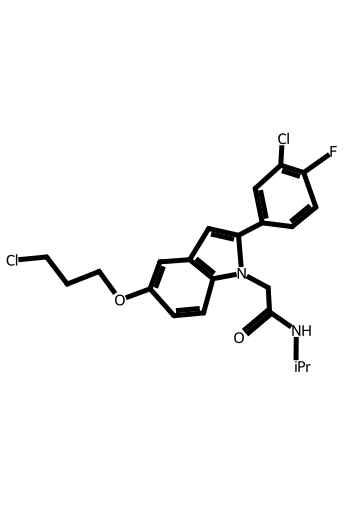 CC(C)NC(=O)Cn1c(-c2ccc(F)c(Cl)c2)cc2cc(OCCCCl)ccc21